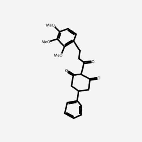 COc1ccc(CCC(=O)C2C(=O)CC(c3ccccc3)CC2=O)c(OC)c1OC